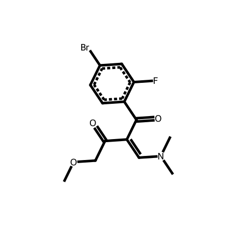 COCC(=O)/C(=C/N(C)C)C(=O)c1ccc(Br)cc1F